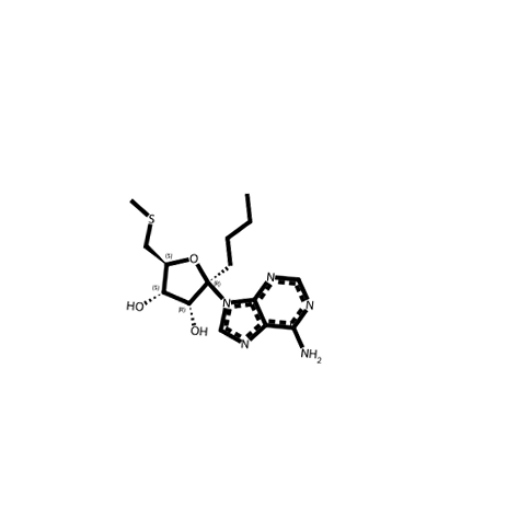 CCCC[C@@]1(n2cnc3c(N)ncnc32)O[C@H](CSC)[C@@H](O)[C@H]1O